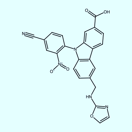 N#Cc1ccc(-n2c3ccc(CNc4ncco4)cc3c3ccc(C(=O)O)cc32)c([N+](=O)[O-])c1